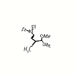 CCN(/C=C/C(C)C(OC)OC)CC